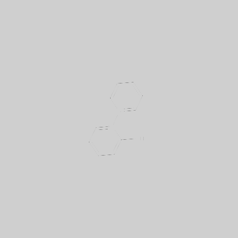 O=C[C]1=CC=C[CH]=[Ge]1[Ge]1=[CH]C=CC=[CH]1